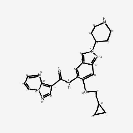 O=C(Nc1cc2cn(C3CCNCC3)nc2cc1OCC1CC1)c1cnn2cccnc12